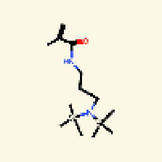 C=C(C)C(=O)NCCCN([Si](C)(C)C)[Si](C)(C)C